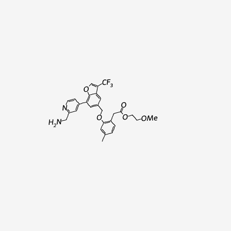 COCCOC(=O)Cc1ccc(C)cc1OCc1cc(-c2ccnc(CN)c2)c2occ(C(F)(F)F)c2c1